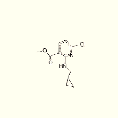 COC(=O)c1ccc(Cl)nc1NCC1CC1